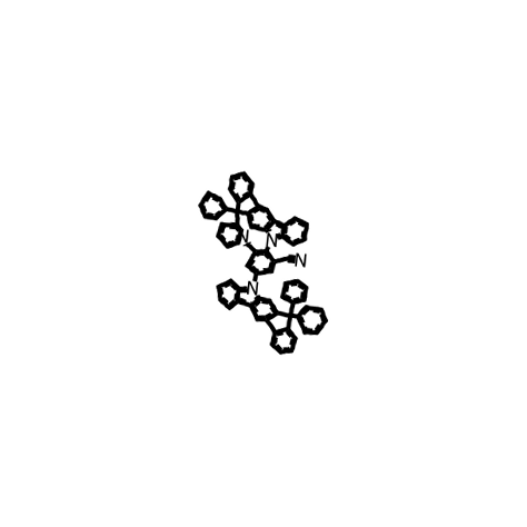 N#Cc1cc(-n2c3ccccc3c3cc4c(cc32)C(c2ccccc2)(c2ccccc2)c2ccccc2-4)cc(C#N)c1-n1c2ccccc2c2cc3c(cc21)C(c1ccccc1)(c1ccccc1)c1ccccc1-3